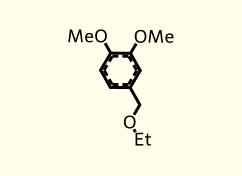 CCOCc1ccc(OC)c(OC)c1